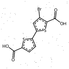 O=C(O)c1ccc(-c2cc(Br)c(C(=O)O)s2)s1